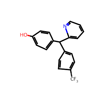 Oc1ccc(C(c2ccc(C(F)(F)F)cc2)c2ccccn2)cc1